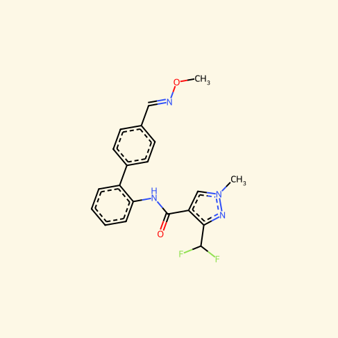 CON=Cc1ccc(-c2ccccc2NC(=O)c2cn(C)nc2C(F)F)cc1